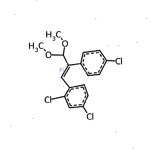 COC(OC)/C(=C/c1ccc(Cl)cc1Cl)c1ccc(Cl)cc1